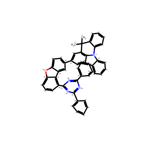 CC1(C)c2ccccc2-n2c3ccccc3c3cc(-c4ccc5oc6cccc(-c7nc(-c8ccccc8)nc(-c8ccccc8)n7)c6c5c4)cc1c32